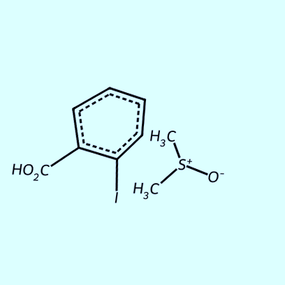 C[S+](C)[O-].O=C(O)c1ccccc1I